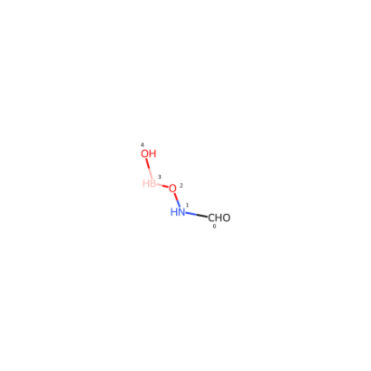 O=CNOBO